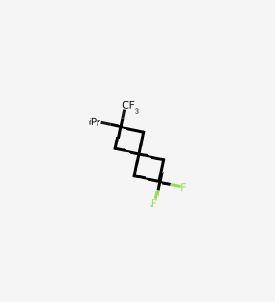 CC(C)C1(C(F)(F)F)CC2(CC(F)(F)C2)C1